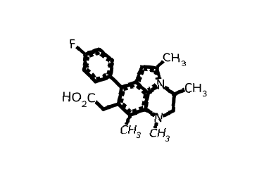 Cc1c(CC(=O)O)c(-c2ccc(F)cc2)c2cc(C)n3c2c1N(C)CC3C